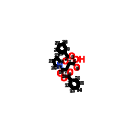 O=C(OC(C(=O)O)C(OC(=O)c1ccccc1)C(=O)N1CCCC1)c1ccccc1